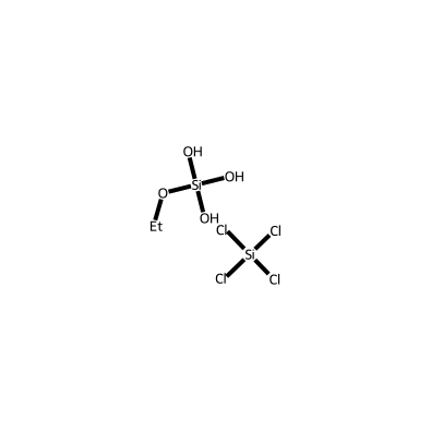 CCO[Si](O)(O)O.Cl[Si](Cl)(Cl)Cl